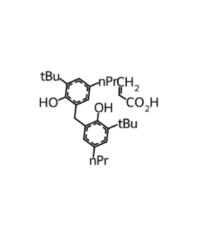 C=CC(=O)O.CCCc1cc(Cc2cc(CCC)cc(C(C)(C)C)c2O)c(O)c(C(C)(C)C)c1